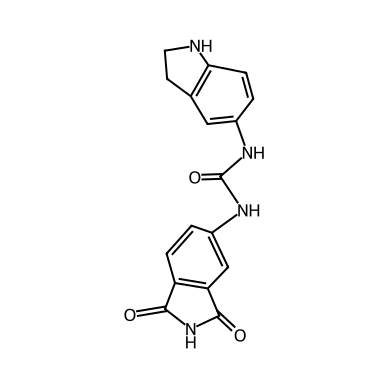 O=C(Nc1ccc2c(c1)CCN2)Nc1ccc2c(c1)C(=O)NC2=O